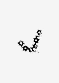 Nc1ncc(-c2ccc(SC3CCOCC3)cc2)nc1-c1cc(-c2ccc(CNC3CCCO3)cc2)no1